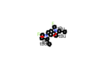 CC(C)(C)c1ccccc1-c1ccc(N(C2=C3C=CC4=C5C(=CC=C(C=C2)C35)C(N(c2ccc(F)cc2)c2ccc(-c3ccccc3C(C)(C)C)cc2-c2ccccc2C(C)(C)C)C=C4)c2ccc(F)cc2)c(-c2ccccc2C(C)(C)C)c1